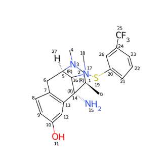 C[C@@H]1CN(C)[C@@H]2Cc3ccc(O)cc3[C@@]1(N)C2N(C)Sc1cccc(C(F)(F)F)c1